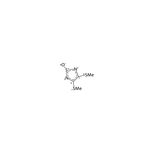 CSc1n[s+]([O-])nc1SC